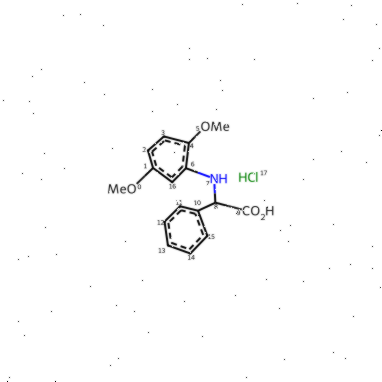 COc1ccc(OC)c(NC(C(=O)O)c2ccccc2)c1.Cl